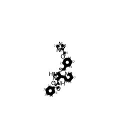 O=S(=O)(Nc1n[nH]c(SCc2cccc(OCn3ncnn3)c2)c1-c1ccccn1)c1ccccc1